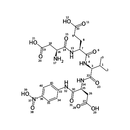 CC(C)[C@H](NC(=O)[C@H](CCC(=O)O)NC(=O)[C@@H](N)CC(=O)O)C(=O)N[C@@H](CC(=O)O)C(=O)Nc1ccc([N+](=O)O)cc1